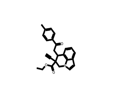 C#CC1(C(=O)OCC)Cn2ccc3cccc(c32)C1CC(=O)c1ccc(C)cc1